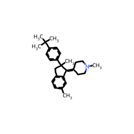 Cc1ccc2c(c1)C(=C1CCN(C)CC1)C(C)(c1ccc(C(C)(C)C)cc1)C2